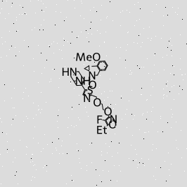 CCc1onc(OCCOCc2ncc(C3=C(C(=O)N(Cc4cccc(OC)c4C)C4CC4)C4CNCC(C3)N4)s2)c1F